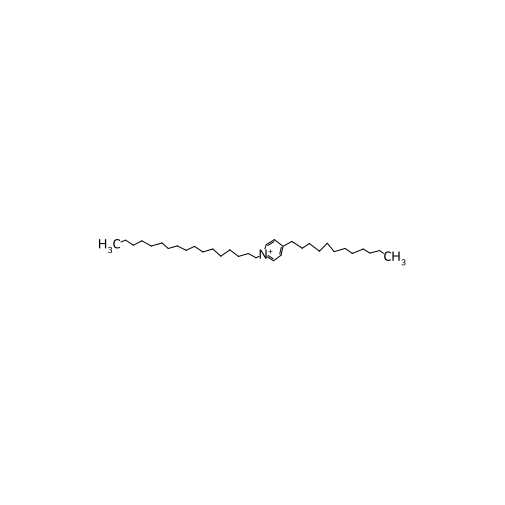 CCCCCCCCCCCCCCCCC[n+]1ccc(CCCCCCCCCCCC)cc1